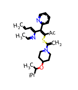 C=C/C=C(\N=C/C)C(=C(\SC(=C)N1CCC(OC(C)C(C)C)CC1)C(C)=O)/c1ccccn1